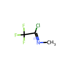 C/N=C(\Cl)C(F)(F)F